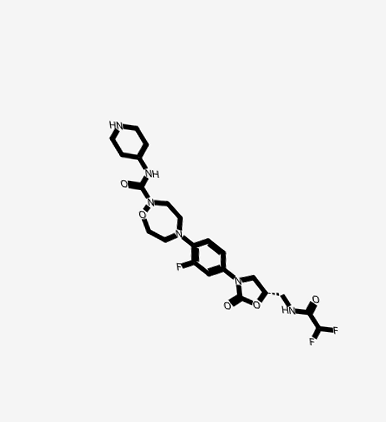 O=C(NC[C@H]1CN(c2ccc(N3CCON(C(=O)NC4CCNCC4)CC3)c(F)c2)C(=O)O1)C(F)F